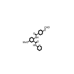 COc1ccc(NC(=O)c2ccc(OC=O)cc2)c(C(=O)Nc2ccccn2)c1